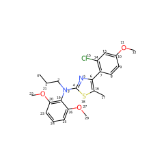 CCCN(c1nc(-c2ccc(OC)cc2Cl)c(C)s1)c1c(OC)cccc1OC